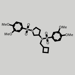 COc1ccc(S(=O)(=O)N2CCC(N(CC3CCC3)S(=O)(=O)c3ccc(OC)c(OC)c3)C2)cc1OC